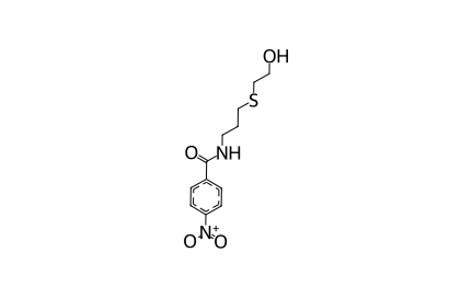 O=C(NCCCSCCO)c1ccc([N+](=O)[O-])cc1